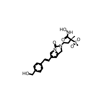 C[C@@](CCN1Cc2cc(/C=C/c3ccc(CO)cc3)cn2C1=O)(C(=O)NO)S(C)(=O)=O